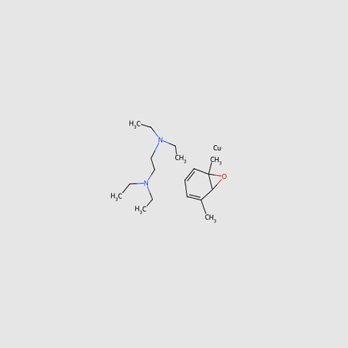 CC1=CC=CC2(C)OC12.CCN(CC)CCN(CC)CC.[Cu]